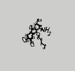 CCCCCOc1c(CN)n(CC(C)C)c(=O)c2cc(Cl)c(Cl)cc12